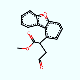 COC(=O)C(CC=O)c1cccc2oc3ccccc3c12